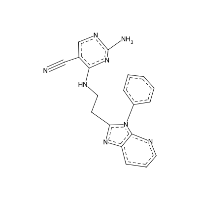 N#Cc1cnc(N)nc1NCCc1nc2cccnc2n1-c1ccccc1